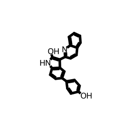 Oc1ccc(-c2ccc3[nH]c(O)c(-c4ccc5ccccc5n4)c3c2)cc1